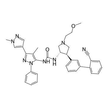 COCCN1C[C@@H](NC(=O)Nc2c(C)c(-c3cnn(C)c3)nn2-c2ccccc2)[C@H](c2cccc(-c3ccccc3C#N)c2)C1